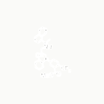 COC(=O)c1cc([C@@H]2C[C@H](CN[C@H](C)c3cccc4ccccc34)Oc3ccccc32)ccc1C(F)(F)F